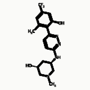 Cc1cc(C(F)(F)F)cc(O)c1-c1ccc(N[C@@H]2C[C@@H](O)CN(C)C2)nn1